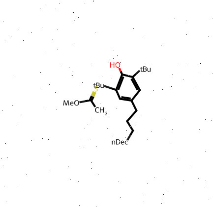 CCCCCCCCCCCCCc1cc(C(C)(C)C)c(O)c(C(C)(C)C)c1.COC(C)=S